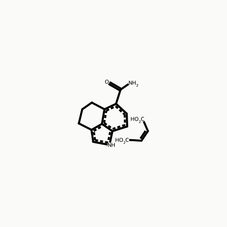 NC(=O)c1ccc2[nH]cc3c2c1CCC3.O=C(O)/C=C\C(=O)O